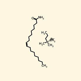 CCCCCCCC/C=C\CCCCCCCC(N)=O.CCC[N+](C)(C)C.[Br-]